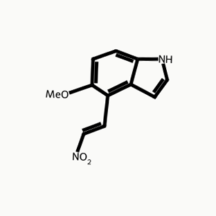 COc1ccc2[nH]ccc2c1C=C[N+](=O)[O-]